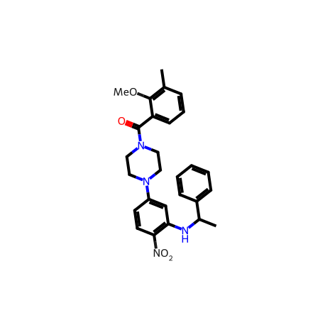 COc1c(C)cccc1C(=O)N1CCN(c2ccc([N+](=O)[O-])c(NC(C)c3ccccc3)c2)CC1